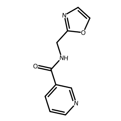 O=C(NCc1ncco1)c1cccnc1